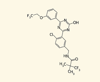 CC(C)(C(=O)NCc1ccc(Cl)c(-c2nc(O)nc(-c3cccc(OCC(F)(F)F)c3)n2)c1)C(F)(F)F